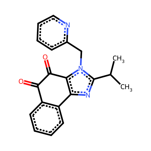 CC(C)c1nc2c(n1Cc1ccccn1)C(=O)C(=O)c1ccccc1-2